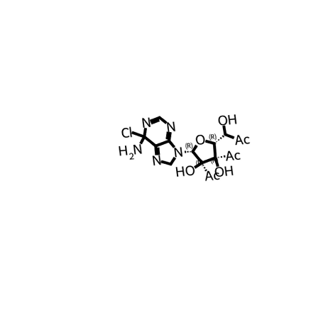 CC(=O)C(O)[C@H]1O[C@@H](N2CN=C3C2=NC=NC3(N)Cl)[C@@](O)(C(C)=O)[C@@]1(O)C(C)=O